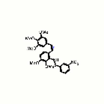 COc1cc(/C=C\c2ccc(OC)c(OC)c2NSc2cccc([N+](=O)[O-])c2)cc(OC)c1OC